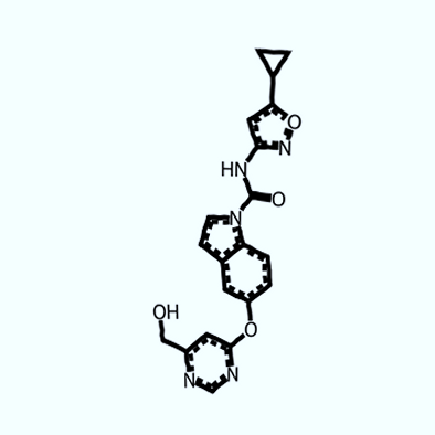 O=C(Nc1cc(C2CC2)on1)n1ccc2cc(Oc3cc(CO)ncn3)ccc21